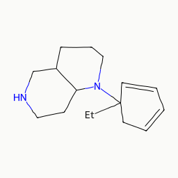 CCC1(N2CCCC3CNCCC32)C=CC=CC1